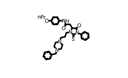 CCCOc1ccc(NC(=O)CC2C(=O)N(c3ccccc3)C(=S)N2CCCN2CCN(Cc3ccccc3)CC2)cc1